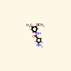 COc1cc(NC(=O)C2CCC(N)C2)ccc1C